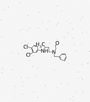 CC(CCN(CC=O)Cc1ccccc1)Nc1ccc(Cl)c(Cl)c1